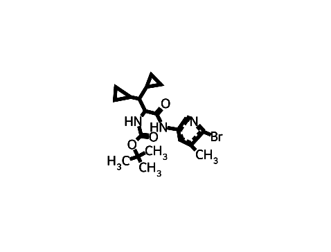 Cc1cc(NC(=O)C(NC(=O)OC(C)(C)C)C(C2CC2)C2CC2)cnc1Br